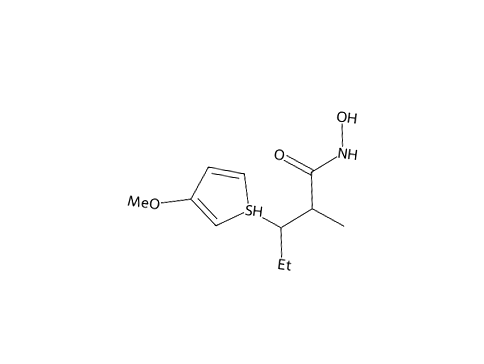 CCC(C(C)C(=O)NO)[SH]1C=CC(OC)=C1